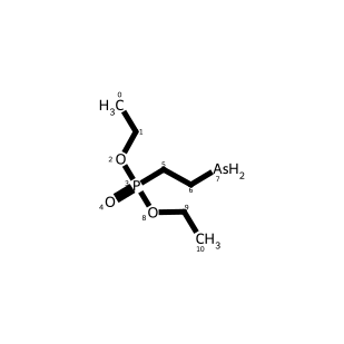 CCOP(=O)(CC[AsH2])OCC